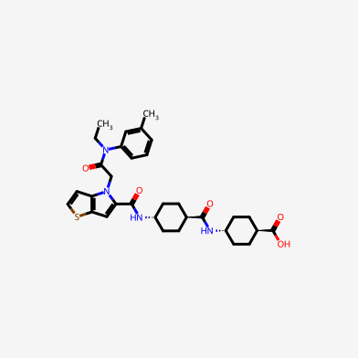 CCN(C(=O)Cn1c(C(=O)N[C@H]2CC[C@H](C(=O)N[C@H]3CC[C@H](C(=O)O)CC3)CC2)cc2sccc21)c1cccc(C)c1